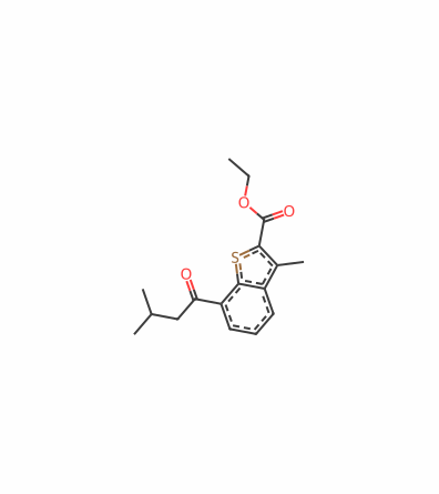 CCOC(=O)c1sc2c(C(=O)CC(C)C)cccc2c1C